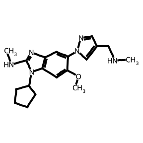 CNCc1cnn(-c2cc3nc(NC)n(C4CCCC4)c3cc2OC)c1